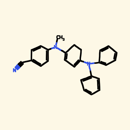 CN(C1=CC=C(N(c2ccccc2)c2ccccc2)CC1)c1ccc(C#N)cc1